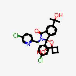 CC(C)(O)c1ccc2c(c1)C(=O)N(Cc1ccc(Cl)cn1)[C@@]2(OC1(CO)CCC1)c1ccc(Cl)cc1